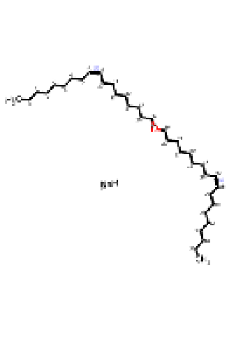 CCCCCCCC/C=C\CCCCCCCCOCCCCCCCC/C=C\CCCCCCCC.[NaH]